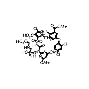 COC(=O)c1cc(Oc2ccc(Cl)cc2Cl)ccc1[N+](=O)[O-].COc1cc(OC)nc(NC(=O)NS(=O)(=O)c2c(C(=O)O)c(Cl)nn2C)n1.O=C(O)CNCP(=O)(O)O